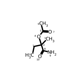 CCC(C)(OC(C)=O)C(N)=O